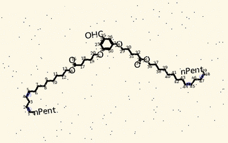 CCCCC/C=C\C/C=C\CCCCCCCCOC(=O)CCCCOc1cc(C=O)cc(OCCCCC(=O)OCCCCCCCC/C=C\C/C=C\CCCCC)c1